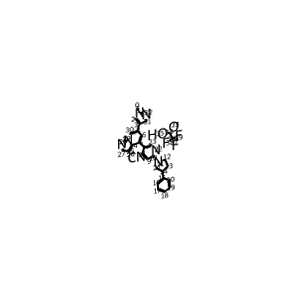 Cn1cc(-c2cc(-c3ccc(N4CCC(c5ccccc5)C4)nc3)c3c(C#N)cnn3c2)cn1.O=C(O)C(F)(F)F